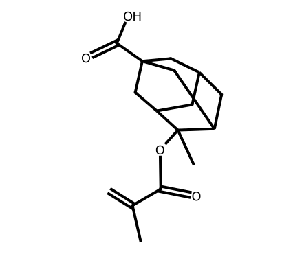 C=C(C)C(=O)OC1(C)C2CC3CC1CC(C(=O)O)(C3)C2